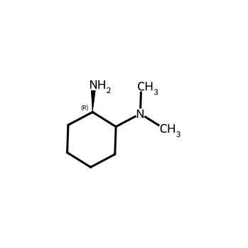 CN(C)C1CCCC[C@H]1N